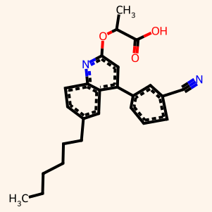 CCCCCCc1ccc2nc(OC(C)C(=O)O)cc(-c3cccc(C#N)c3)c2c1